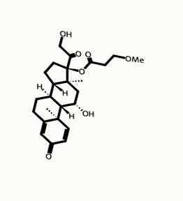 COCCC(=O)O[C@]1(C(=O)CO)CC[C@H]2[C@@H]3CCC4=CC(=O)C=C[C@]4(C)[C@H]3[C@@H](O)C[C@@]21C